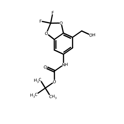 CC(C)(C)OC(=O)Nc1cc(CO)c2c(c1)OC(F)(F)O2